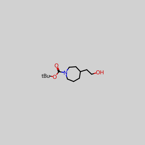 CC(C)(C)OC(=O)N1CCCC(CCO)CC1